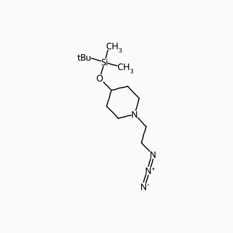 CC(C)(C)[Si](C)(C)OC1CCN(CCN=[N+]=[N-])CC1